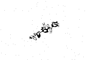 Cc1cn2cc(NC(=O)c3ccc(N4CC[C@@H](N(C)C(=O)OC(C)(C)C)C4)c4cc(C)[nH]c34)cc(F)c2n1